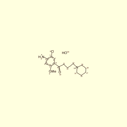 COc1cc(N)c(Cl)cc1C(=O)CCCN1CCCCC1.Cl